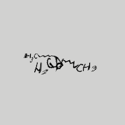 C=Cc1ccccc1.CCCCCCCCNCCCCCCCC